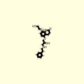 O=C1CCc2c(OCC(O)CNCCc3ccccc3)ccc(OCCO)c2N1